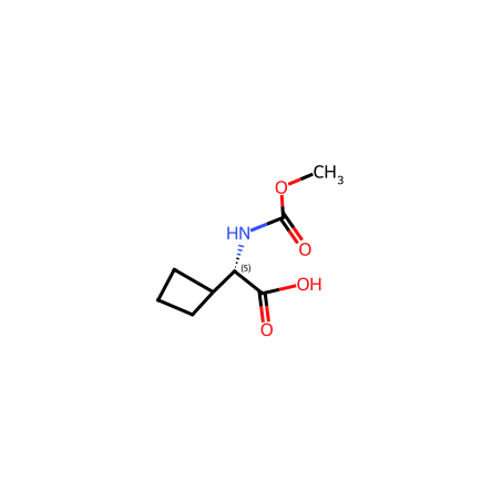 COC(=O)N[C@H](C(=O)O)C1CCC1